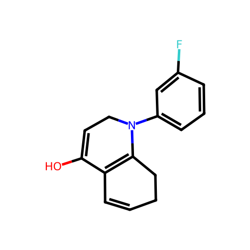 OC1=CCN(c2cccc(F)c2)C2=C1C=CCC2